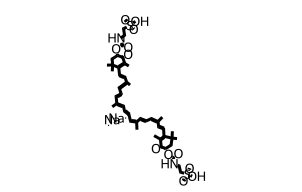 CC(C=CC=C(C)C=CC1=C(C)C(=O)C(OC(=O)NCCS(=O)(=O)O)CC1(C)C)=CC=CC=C(C)C=CC=C(C)C=CC1=C(C)C(=O)C(OC(=O)NCCS(=O)(=O)O)CC1(C)C.[Na].[Na]